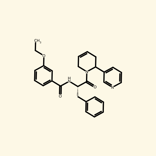 CCOc1cccc(C(=O)N[C@@H](Cc2ccccc2)C(=O)N2CC=CCC2c2cccnc2)c1